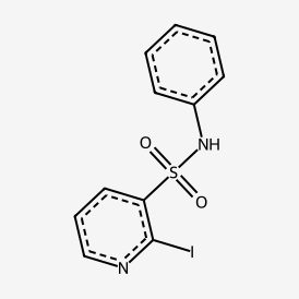 O=S(=O)(Nc1ccccc1)c1cccnc1I